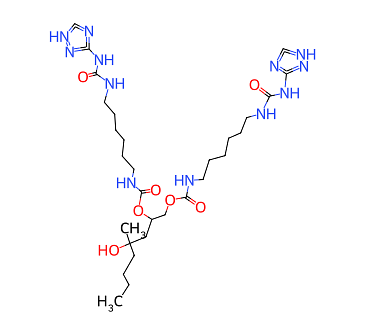 CCCCC(C)(O)CC(COC(=O)NCCCCCCNC(=O)Nc1nc[nH]n1)OC(=O)NCCCCCCNC(=O)Nc1nc[nH]n1